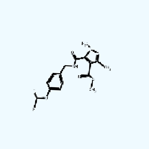 COC(=O)c1c(C)nn(C)c1C(=O)NCc1ccc(OC(F)F)cc1